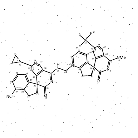 CNC1=NC(=O)[C@@]2(CCc3c2ccc[n+]3CNC2=NC(=O)[C@@]3(CCc4c(C#N)cccc43)c3cc(C4CC4)ncc32)c2cc(C(C)(F)F)ccc21